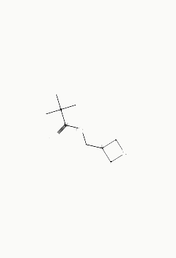 CC(C)(C)C(=O)NCC1CNC1